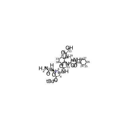 CC(C)(C)OC(=O)C[C@@H](/C=N/NC(N)=O)NC(=O)CN1C(=O)[C@@H](NC(=O)c2ccccc2)CN(C(=O)CO)c2ccccc21